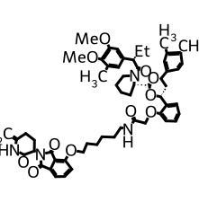 C=C1CCC(N2C(=O)c3cccc(OCCCCCCNC(=O)COc4ccccc4[C@@H](CCc4ccc(C)c(C)c4)OC(=O)[C@@H]4CCCCN4C(=O)[C@@H](CC)c4cc(C)c(OC)c(OC)c4)c3C2=O)C(=O)N1